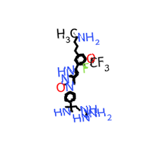 C[C@H](N)CCCc1cc(OC(F)(F)F)c(F)c(-c2cc3cn(-c4ccc(C5(CCNC(=N)N)CNC5)cc4)c(=O)nc3[nH]2)c1